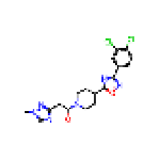 Cn1cnc(CC(=O)N2CCC(c3nc(-c4ccc(Cl)c(Cl)c4)no3)CC2)n1